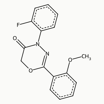 COc1ccccc1C1=NN(c2ccccc2F)C(=O)CO1